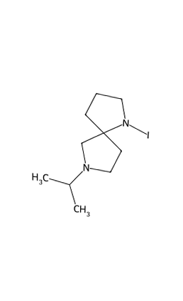 CC(C)N1CCC2(CCCN2I)C1